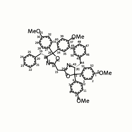 COc1ccc(C2(c3ccc(OC)cc3)OC(CC3=N[C@H](Cc4ccccc4)C(c4ccc(OC)cc4)(c4ccc(OC)cc4)O3)=N[C@@H]2Cc2ccccc2)cc1